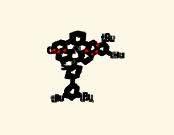 CC(C)(C)c1cc(-c2ccc3c(c2)Sc2cc(Cl)cc4c2B3c2ccc(-c3cc(C(C)(C)C)cc(C(C)(C)C)c3)cc2N4c2c(-c3ccccc3)cccc2-c2ccccc2)cc(C(C)(C)C)c1